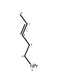 C/C=C/CCCCC